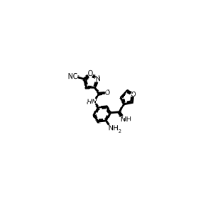 N#Cc1cc(C(=O)Nc2ccc(N)c(C(=N)c3ccoc3)c2)no1